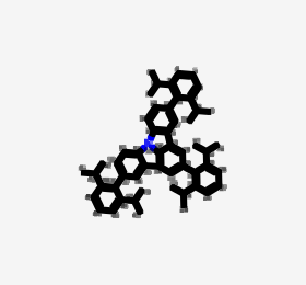 CC(C)c1cccc(C(C)C)c1-c1ccc2c(c1)c1cc(-c3c(C(C)C)cccc3C(C)C)cc3c4cc(-c5c(C(C)C)cccc5C(C)C)ccc4n2c13